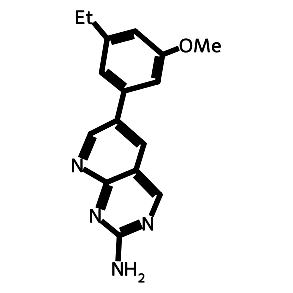 CCc1cc(OC)cc(-c2cnc3nc(N)ncc3c2)c1